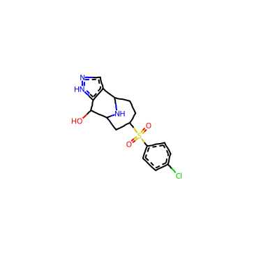 O=S(=O)(c1ccc(Cl)cc1)C1CCC2NC(C1)C(O)c1[nH]ncc12